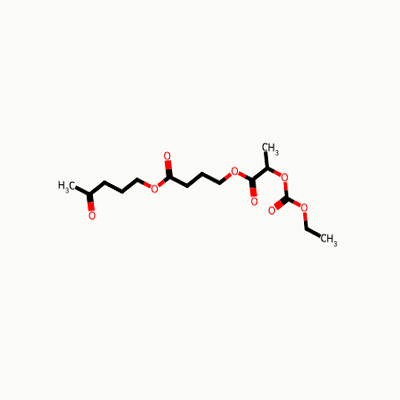 CCOC(=O)OC(C)C(=O)OCCCC(=O)OCCCC(C)=O